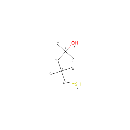 CC(C)(O)CC(C)(C)CS